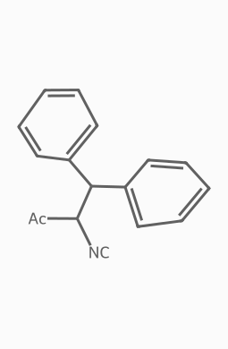 [C-]#[N+]C(C(C)=O)C(c1ccccc1)c1ccccc1